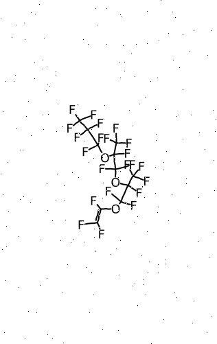 FC(F)=C(F)OC(F)(F)C(F)(OC(F)(F)C(F)(OC(F)(F)C(F)(F)C(F)(F)F)C(F)(F)F)C(F)(F)F